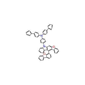 c1ccc(-c2ccc(N(c3ccc(-c4ccccc4)cc3)c3ccc(-n4c5ccccc5c5c(-c6cccc7c6oc6ccccc67)c6c(cc54)oc4ccccc46)cc3)cc2)cc1